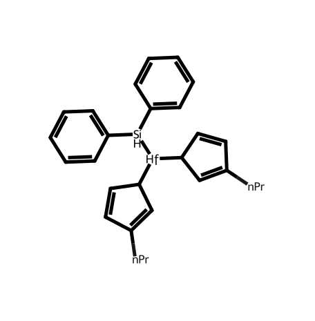 CCCC1=C[CH]([Hf]([CH]2C=CC(CCC)=C2)[SiH](c2ccccc2)c2ccccc2)C=C1